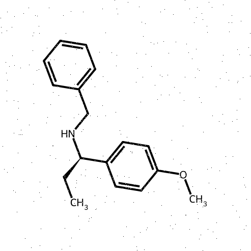 CC[C@@H](NCc1ccccc1)c1ccc(OC)cc1